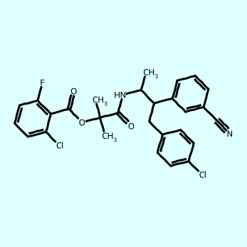 CC(NC(=O)C(C)(C)OC(=O)c1c(F)cccc1Cl)C(Cc1ccc(Cl)cc1)c1cccc(C#N)c1